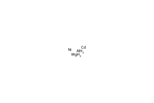 [AlH3].[Cd].[MgH2].[Ni]